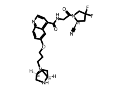 N#C[C@@H]1CC(F)(F)CN1C(=O)CNC(=O)c1ccnc2ccc(OCCCN3C[C@@H]4C[C@H]3CN4)cc12